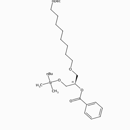 CCCCCCCCCCCCCCCCCCOC[C@H](CO[Si](C)(C)CCCC)OC(=O)c1ccccc1